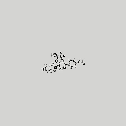 Cc1ccc(-c2ccc(N3CC4CNCC4C3)nn2)cc1.O=C(O)C(F)(F)F